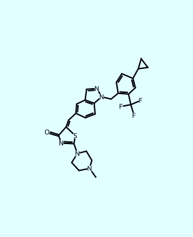 CN1CCN(C2=NC(=O)/C(=C/c3ccc4c(cnn4Cc4ccc(C5CC5)cc4C(F)(F)F)c3)S2)CC1